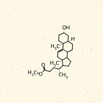 COC(=O)CC[C@@H](C)C1CCC2C3CC[C@@H]4C[C@@H](O)CC[C@]4(C)C3=CC[C@@]21C